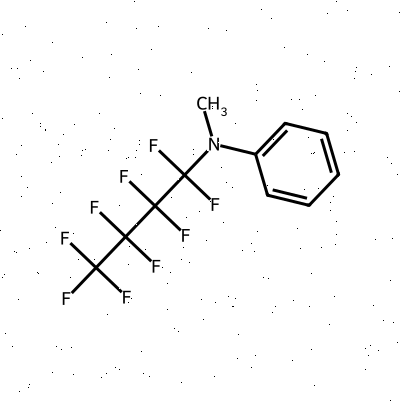 CN(c1ccccc1)C(F)(F)C(F)(F)C(F)(F)C(F)(F)F